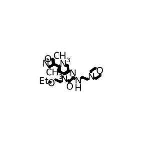 CCOCCn1c(=O)c(NCCN2CCOCC2)nc2cnc(-c3c(C)noc3C)cc21